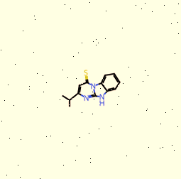 CC(C)c1cc(=S)n2c(n1)[nH]c1ccccc12